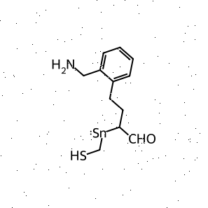 NCc1ccccc1CC[CH](C=O)[Sn][CH2]S